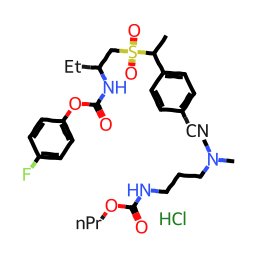 CCC(CS(=O)(=O)C(C)c1ccc(C#N)cc1)NC(=O)Oc1ccc(F)cc1.CCCOC(=O)NCCCN(C)C.Cl